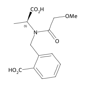 COCC(=O)N(Cc1ccccc1C(=O)O)[C@@H](C)C(=O)O